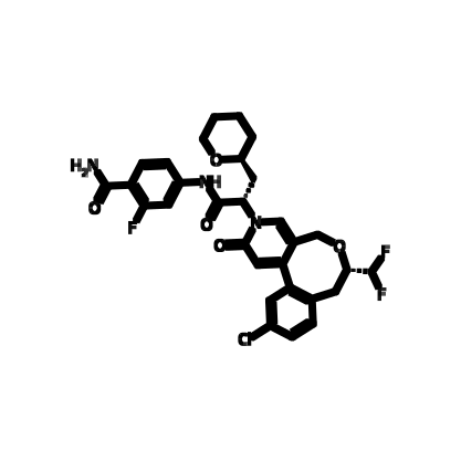 NC(=O)c1ccc(NC(=O)[C@H](C[C@@H]2CCCCO2)n2cc3c(cc2=O)-c2cc(Cl)ccc2C[C@@H](C(F)F)OC3)cc1F